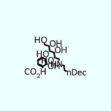 CCCCCCCCCCCCNC[C@H](O)[C@@H](O)[C@H](O)[C@H](O)CO.O=C(O)c1ccccc1O